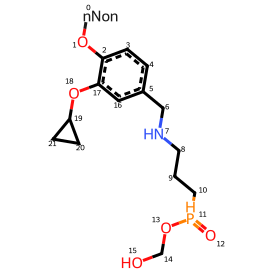 CCCCCCCCCOc1ccc(CNCCC[PH](=O)OCO)cc1OC1CC1